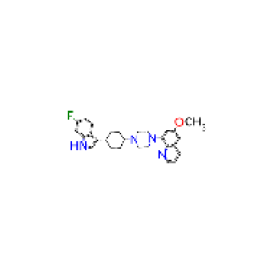 COc1cc(N2CCN([C@H]3CC[C@@H](c4c[nH]c5cc(F)ccc54)CC3)CC2)c2ncccc2c1